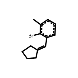 Cc1cccc(C=C2CCCC2)c1Br